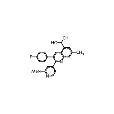 CNc1cc(-c2nc3cc(C)cc(C(C)O)c3cc2-c2ccc(F)cc2)ccn1